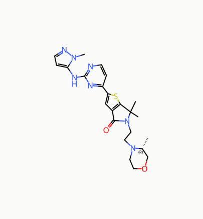 C[C@@H]1COCCN1CCN1C(=O)c2cc(-c3ccnc(Nc4ccnn4C)n3)sc2C1(C)C